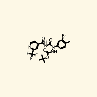 Cc1ccc(N(NC(=O)OC(C)(C)C)C(=O)NC(=O)c2ccnc(C(F)(F)F)c2)cc1Br